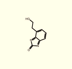 O=C1N=c2cccc(CCO)c2=N1